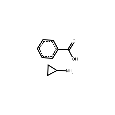 NC1CC1.O=C(O)c1ccccc1